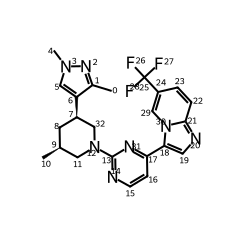 Cc1nn(C)cc1[C@@H]1C[C@H](C)CN(c2nccc(-c3cnc4ccc(C(F)(F)F)cn34)n2)C1